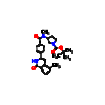 Cc1cccc2c(=O)[nH]c(-c3ccc(C(=O)N(C)C4CCN(C(=O)OC(C)(C)C)C4)cc3)cc12